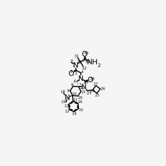 CN(C(=O)CN1C[C@]2(CC[C@](c3ccccc3)(N(C)C)CC2)N(CC2CCC2)C1=O)C(C)(C)C(N)=O